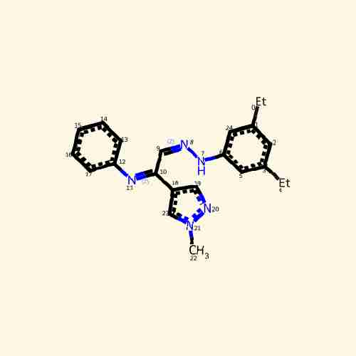 CCc1cc(CC)cc(N/N=C\C(=N/c2ccccc2)c2cnn(C)c2)c1